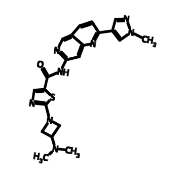 CN(C)C1CN(c2ncc(C(=O)Nc3cc4nc(-c5cnn(C)c5)ccc4cn3)s2)C1